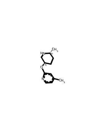 Cc1ccnc(O[C@@H]2CC[C@@H](C)NC2)c1